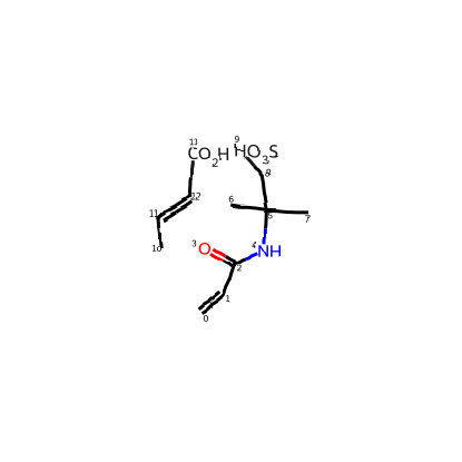 C=CC(=O)NC(C)(C)CS(=O)(=O)O.CC=CC(=O)O